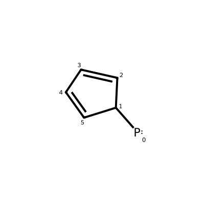 [P]C1C=CC=C1